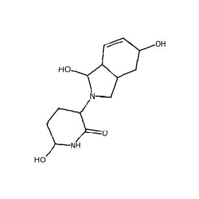 O=C1NC(O)CCC1N1CC2CC(O)C=CC2C1O